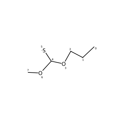 CCCOC([S])OC